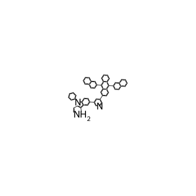 Cc1c(/C=C\N)n(-c2ccccc2)c2ccc(-c3cncc(-c4ccc5c(-c6ccc7ccccc7c6)c6ccccc6c(-c6ccc7ccccc7c6)c5c4)c3)cc12